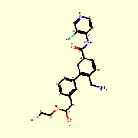 NCC1=C(c2cccc(CC(O)OCCF)c2)CC(C(=O)Nc2ccncc2F)C=C1